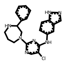 Clc1cnc(N2CCCNC(c3ccccc3)C2)nc1Nc1ccc2[nH]ncc2c1